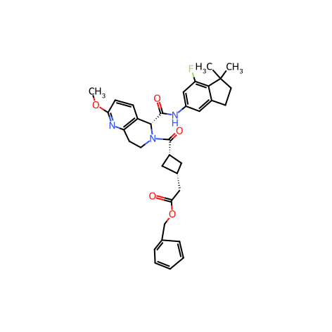 COc1ccc2c(n1)CCN(C(=O)[C@H]1C[C@@H](CC(=O)OCc3ccccc3)C1)[C@H]2C(=O)Nc1cc(F)c2c(c1)CCC2(C)C